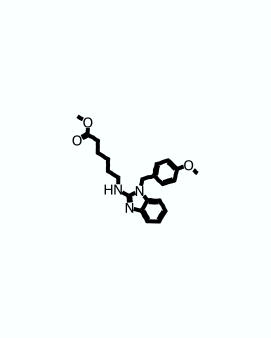 COC(=O)CCCCCNc1nc2ccccc2n1Cc1ccc(OC)cc1